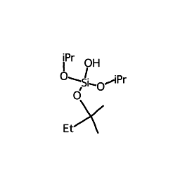 CCC(C)(C)O[Si](O)(OC(C)C)OC(C)C